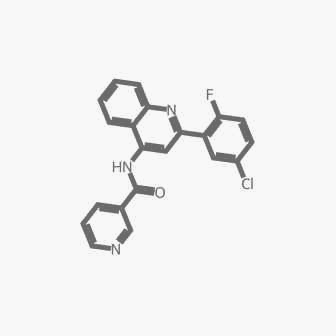 O=C(Nc1cc(-c2cc(Cl)ccc2F)nc2ccccc12)c1cccnc1